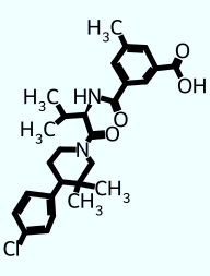 Cc1cc(C(=O)O)cc(C(=O)N[C@@H](C(=O)N2CCC(c3ccc(Cl)cc3)C(C)(C)C2)C(C)C)c1